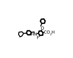 O=C(O)c1cc(F)c(NCc2ccc(C3CCCCC3)cc2)cc1OCc1ccccc1